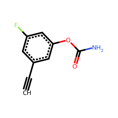 C#Cc1cc(F)cc(OC(N)=O)c1